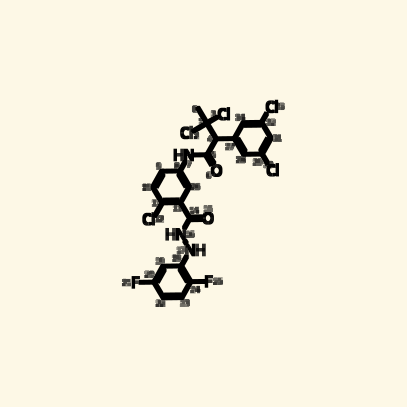 CC(Cl)(Cl)C(C(=O)Nc1ccc(Cl)c(C(=O)NNc2cc(F)ccc2F)c1)c1cc(Cl)cc(Cl)c1